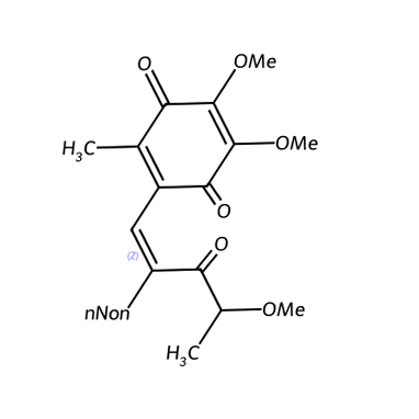 CCCCCCCCC/C(=C/C1=C(C)C(=O)C(OC)=C(OC)C1=O)C(=O)C(C)OC